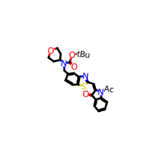 CC(=O)N1/C(=C/c2nc3cc(CN(C(=O)OC(C)(C)C)C4CCOCC4)ccc3s2)C(=O)c2ccccc21